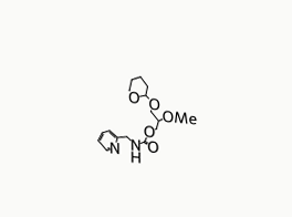 COC(COC(=O)NCc1ccccn1)COC1CCCCO1